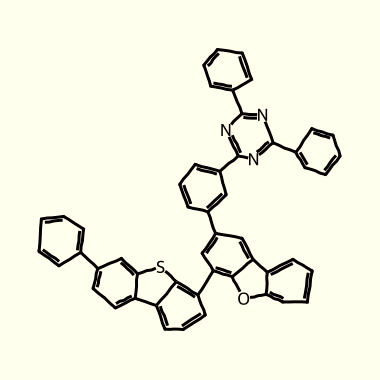 c1ccc(-c2ccc3c(c2)sc2c(-c4cc(-c5cccc(-c6nc(-c7ccccc7)nc(-c7ccccc7)n6)c5)cc5c4oc4ccccc45)cccc23)cc1